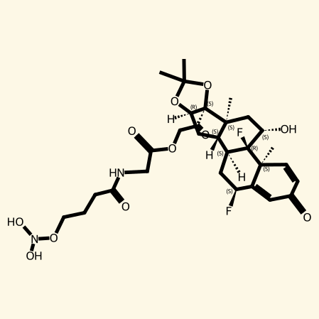 CC1(C)O[C@@H]2C[C@H]3[C@@H]4C[C@H](F)C5=CC(=O)C=C[C@]5(C)[C@@]4(F)[C@@H](O)C[C@]3(C)[C@]2(C(=O)COC(=O)CNC(=O)CCCON(O)O)O1